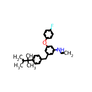 C=CNc1cc(Cc2ccc(C(C)(C)C(=C)C)cc2)cc(Oc2ccc(F)cc2)c1